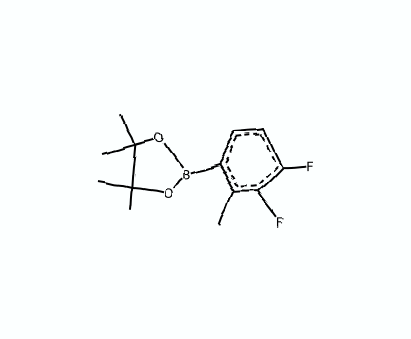 Cc1c(B2OC(C)(C)C(C)(C)O2)ccc(F)c1F